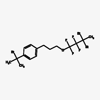 CCC(C)(C)c1ccc(CCCOC(F)(F)C(F)(F)C(C)(CC)CC)cc1